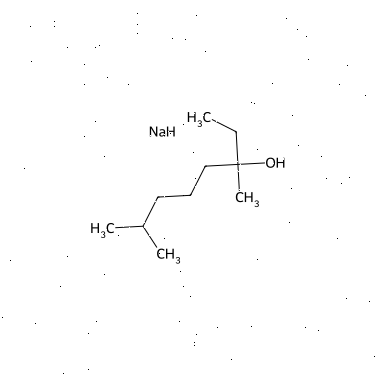 CCC(C)(O)CCCC(C)C.[NaH]